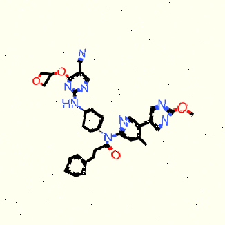 COc1ncc(-c2cnc(N(C(=O)CCc3ccccc3)[C@H]3CC[C@H](Nc4ncc(C#N)c(OC5COC5)n4)CC3)cc2C)cn1